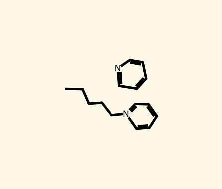 CCCCC[n+]1ccccc1.c1ccncc1